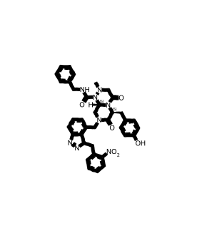 CN1CC(=O)N2[C@@H](Cc3ccc(O)cc3)C(=O)N(Cc3cccc4c3C(Cc3ccccc3[N+](=O)[O-])N=N4)C[C@@H]2N1C(=O)NCc1ccccc1